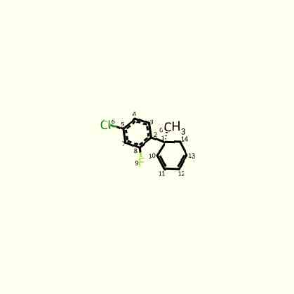 C[C@@]1(c2ccc(Cl)cc2F)C=CC=CC1